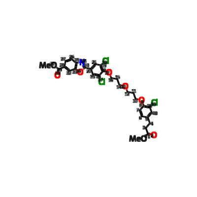 COC(=O)CCc1ccc(OCCCOCCCOc2c(Cl)cc(-c3nc4ccc(C(=O)OC)cc4o3)cc2Cl)c(Cl)c1